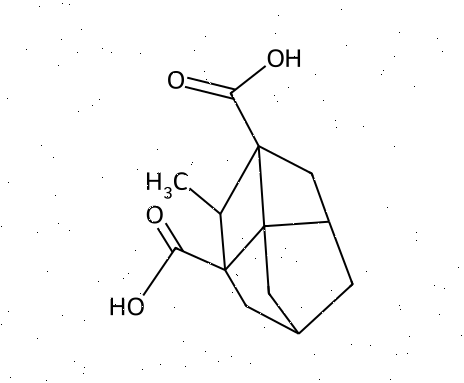 CC1C2(C(=O)O)CC3CC(C2)CC1(C(=O)O)C3